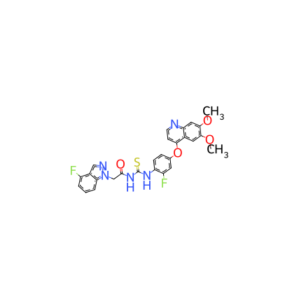 COc1cc2nccc(Oc3ccc(NC(=S)NC(=O)Cn4ncc5c(F)cccc54)c(F)c3)c2cc1OC